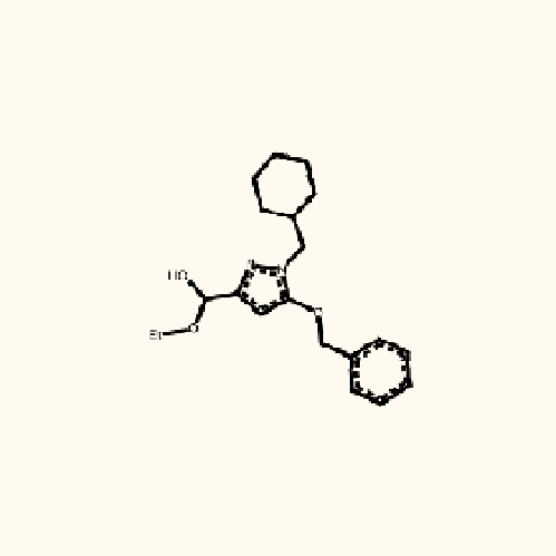 CCOC(O)c1cc(OCc2ccccc2)n(CC2CCCCC2)n1